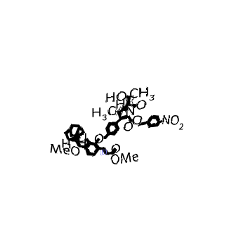 COC(=O)/C=C/c1ccc(C(OC)=C2[C@H]3CC4CC(C3)C[C@@H]2C4)c(Cl)c1OCc1ccc(C2=C(C(=O)OCc3ccc([N+](=O)[O-])cc3)N3C(=O)[C@H]([C@@H](C)O)[C@H]3[C@H]2C)cc1